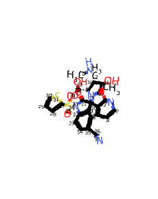 CNC.COc1ncccc1C1(N2C[C@H](O)C[C@H]2C(=O)O)C(=O)N(S(=O)(=O)c2cccs2)c2ccc(C#N)cc21